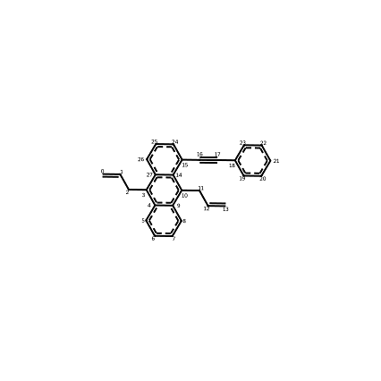 C=CCc1c2ccccc2c(CC=C)c2c(C#Cc3ccccc3)cccc12